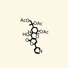 CC(=O)OCC(C)(OC(C)=O)C1C[C@@H](OC(C)=O)[C@]2(C)Oc3cc(-c4cccnc4)oc(=O)c3[C@@H](O)[C@@H]2C1